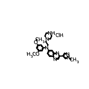 COc1cc(OC)cc(N(CCN2CCNCC2)c2ccc3ncc(-c4cnn(C)c4)nc3c2)c1.Cl